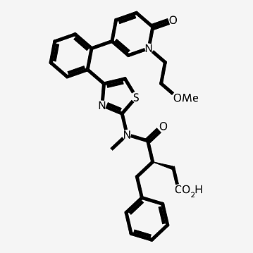 COCCn1cc(-c2ccccc2-c2csc(N(C)C(=O)[C@@H](CC(=O)O)Cc3ccccc3)n2)ccc1=O